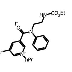 CCC[n+]1cc(Br)cc(C(=O)N(CCNC(=O)OCC)c2ccccc2)c1.[I-]